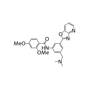 COc1ccc(C(=O)Nc2cc(CN(C)C)cc(-c3nc4ncccc4o3)c2)c(OC)c1